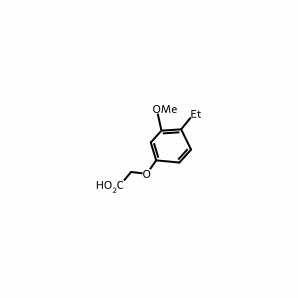 CCc1ccc(OCC(=O)O)cc1OC